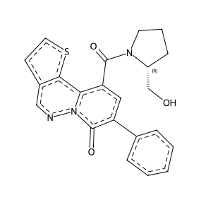 O=C(c1cc(-c2ccccc2)c(=O)n2ncc3ccsc3c12)N1CCC[C@@H]1CO